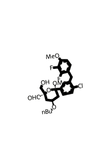 CCCCO[C@H]1C[C@@](C=O)(CO)O[C@@](OC)(c2ccc(Cl)c(Cc3ccc(OC)c(F)c3F)c2)C1